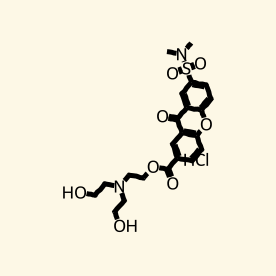 CN(C)S(=O)(=O)c1ccc2oc3ccc(C(=O)OCCN(CCO)CCO)cc3c(=O)c2c1.Cl